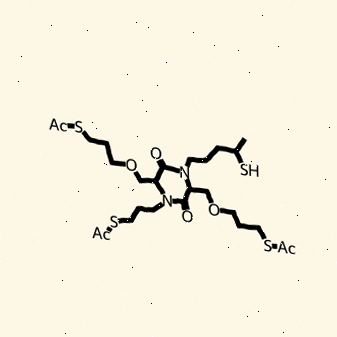 CC(=O)SCCCOCC1C(=O)N(CCCC(C)S)C(COCCCSC(C)=O)C(=O)N1CCCSC(C)=O